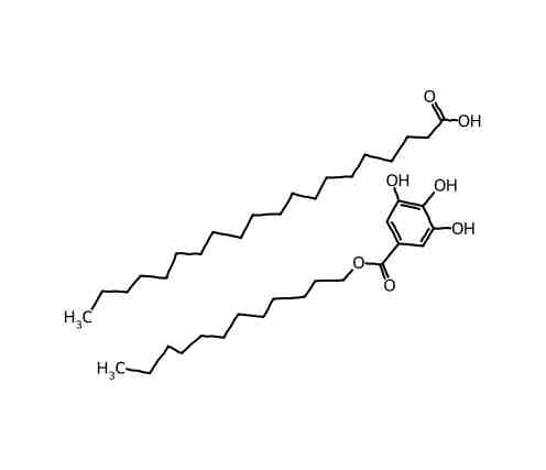 CCCCCCCCCCCCCCCCCCCC(=O)O.CCCCCCCCCCCCOC(=O)c1cc(O)c(O)c(O)c1